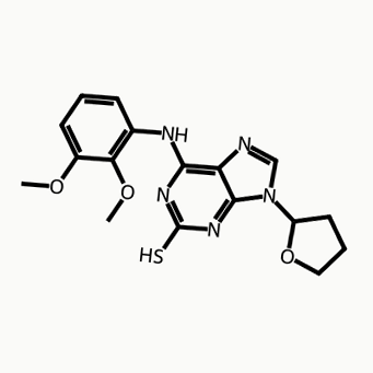 COc1cccc(Nc2nc(S)nc3c2ncn3C2CCCO2)c1OC